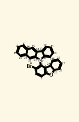 Brc1ccc2c(c1-n1c3ccccc3c3cc4ccccc4cc31)C1C=CC=CC1O2